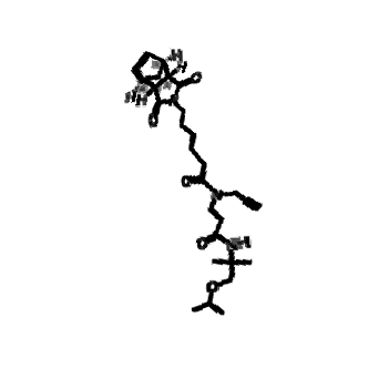 C#CCN(CCC(=O)NC(C)(C)COC(C)C)C(=O)CCCCCN1C(=O)[C@@H]2[C@H](C1=O)[C@H]1C=C[C@@H]2C1